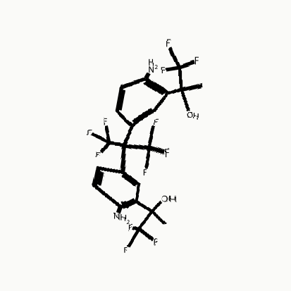 CC(O)(c1cc(C(c2ccc(N)c(C(C)(O)C(F)(F)F)c2)(C(F)(F)F)C(F)(F)F)ccc1N)C(F)(F)F